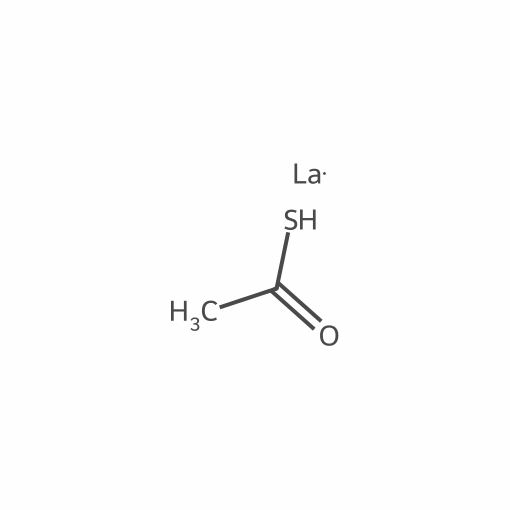 CC(=O)S.[La]